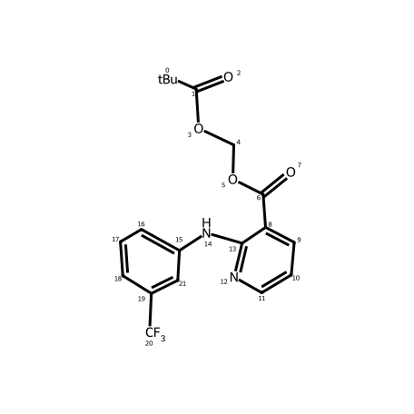 CC(C)(C)C(=O)OCOC(=O)c1cccnc1Nc1cccc(C(F)(F)F)c1